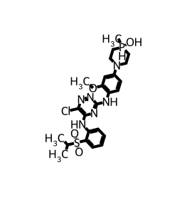 COc1cc(N2CC[PH](C)(O)CC2)ccc1Nc1nnc(Cl)c(Nc2ccccc2S(=O)(=O)C(C)C)n1